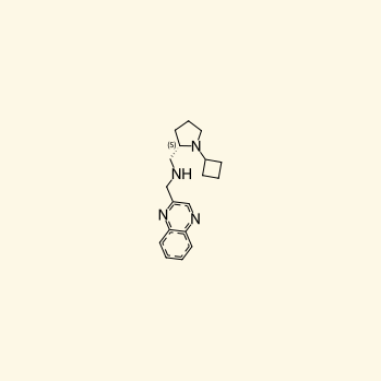 c1ccc2nc(CNC[C@@H]3CCCN3C3CCC3)cnc2c1